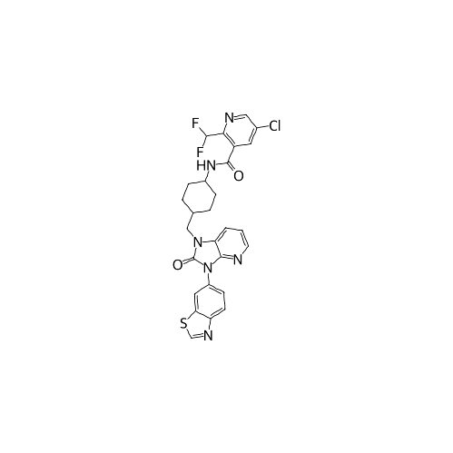 O=C(NC1CCC(Cn2c(=O)n(-c3ccc4ncsc4c3)c3ncccc32)CC1)c1cc(Cl)cnc1C(F)F